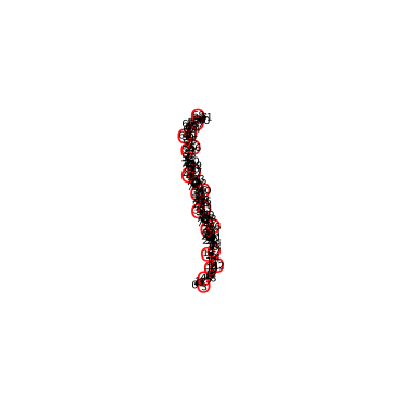 C=CC(=O)OCC(C)(C)COC(=O)CCC(=O)OCCc1ccc(OC(=O)[C@H]2CC[C@H](C(=O)Oc3ccc(OC(=O)[C@H]4CC[C@H](C(=O)Oc5ccc(CCOC(=O)CCC(=O)OCC(C)(C)COC(=O)C=C)cc5)CC4)cc3)CC2)cc1